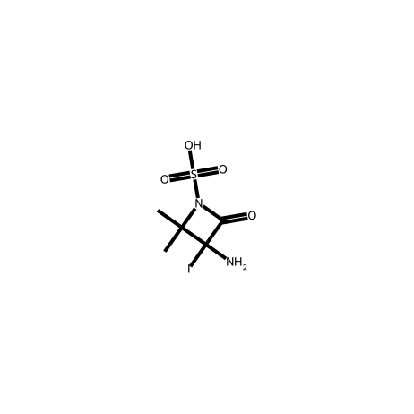 CC1(C)N(S(=O)(=O)O)C(=O)C1(N)I